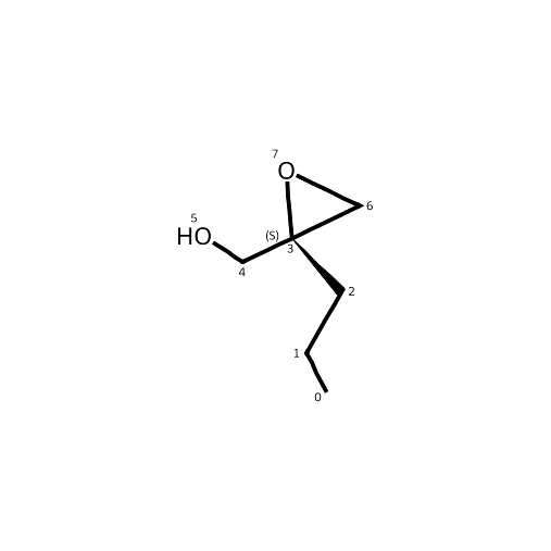 CCC[C@]1(CO)CO1